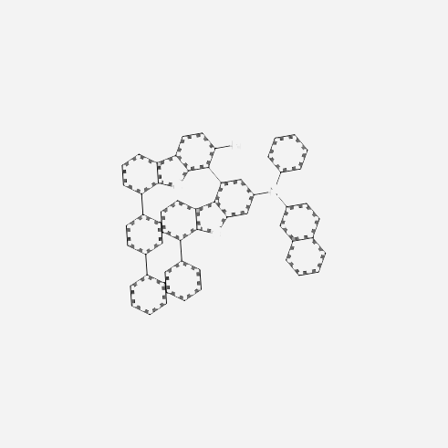 Brc1ccc2c(oc3c(-c4ccc(-c5ccccc5)cc4)cccc32)c1-c1cc(N(c2ccccc2)c2ccc3ccccc3c2)cc2oc3c(-c4ccccc4)cccc3c12